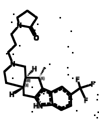 C[C@@H]1c2c([nH]c3ccc(C(F)(F)F)cc23)C[C@@H]2CCN(CCCN3CCCC3=O)C[C@H]21